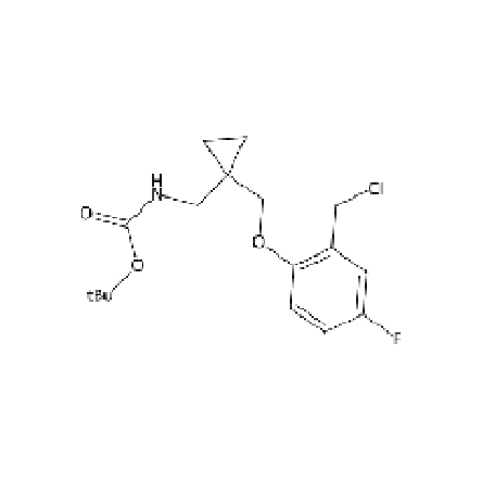 CC(C)(C)OC(=O)NCC1(COc2ccc(F)cc2CCl)CC1